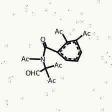 CC(=O)c1cccc(C(=O)N(C(C)=O)C(C=O)(C(C)=O)C(C)=O)c1C(C)=O